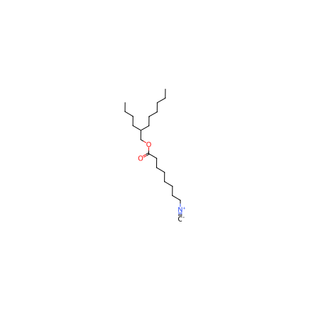 [C-]#[N+]CCCCCCCC(=O)OCC(CCCC)CCCCCC